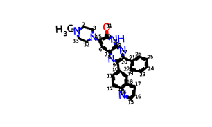 CN1CCN(c2cc3nc(-c4ccc5ncccc5c4)c(-c4ccccc4)nc3[nH]c2=O)CC1